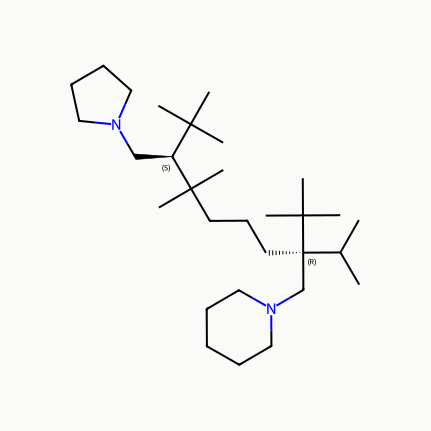 CC(C)[C@@](CCCC(C)(C)[C@@H](CN1CCCC1)C(C)(C)C)(CN1CCCCC1)C(C)(C)C